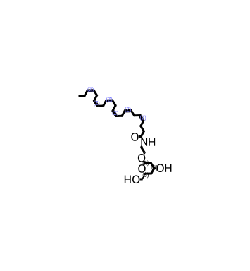 CC/C=C\C/C=C\C/C=C\C/C=C\C/C=C\C/C=C\CCC(=O)NCCO[C@H]1C[C@@H](O)C[C@@H](CO)O1